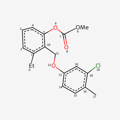 CCc1cccc(OC(=O)OC)c1COc1ccc(C)c(Cl)c1